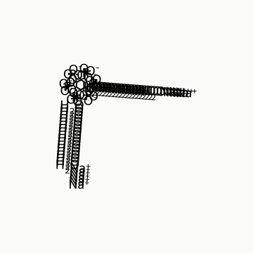 O.O.O.O.O.O.O.O.O.O.O.O.O.O.O.O.O.O.O.O.O.O.O.O.O.O.O.O.O.O.O.O.O.O.O.O.O.O.O=P([O-])([O-])O[C@H]1[C@H](OP(=O)([O-])[O-])[C@@H](OP(=O)([O-])[O-])[C@H](OP(=O)([O-])[O-])[C@@H](OP(=O)([O-])[O-])[C@H]1OP(=O)([O-])[O-].[Na+].[Na+].[Na+].[Na+].[Na+].[Na+].[Na+].[Na+].[Na+].[Na+].[Na+].[Na+]